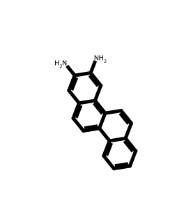 Nc1cc2ccc3c4ccccc4ccc3c2cc1N